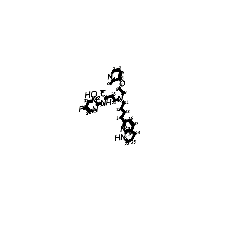 Cc1ncccc1OCCN(CCCCc1ccc2c(n1)NCCC2)CCC(Nc1ncc(F)cn1)C(=O)O